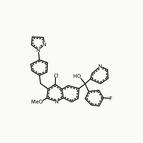 COc1nc2ccc(C(O)(c3cccnc3)c3cccc(F)c3)cc2c(Cl)c1Cc1ccc(-n2cccn2)cc1